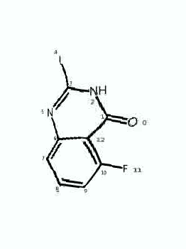 O=c1[nH]c(I)nc2cccc(F)c12